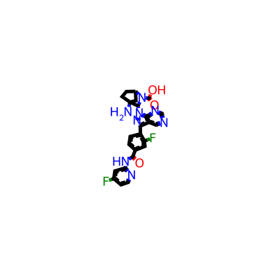 NC12CCC(C1)N(C(=O)O)C2n1nc(-c2ccc(C(=O)Nc3cc(F)ccn3)cc2F)c2cncnc21